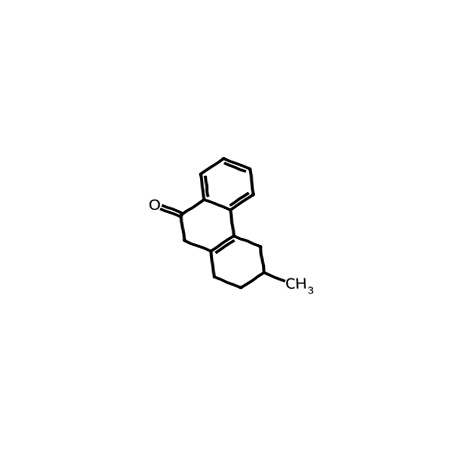 CC1CCC2=C(C1)c1ccccc1C(=O)C2